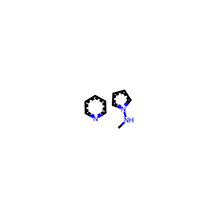 CNn1cccc1.c1ccncc1